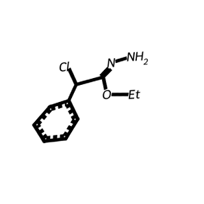 CCOC(=NN)C(Cl)c1ccccc1